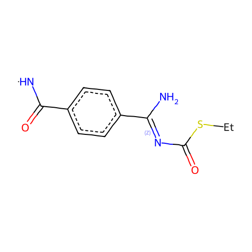 CCSC(=O)/N=C(\N)c1ccc(C([NH])=O)cc1